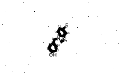 Oc1ccc(Cn2cnc3cc(F)ccc32)cc1